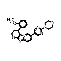 COc1ccccc1C1CCOc2nc3ccc(-c4cnc(N5CCOCC5)nc4)cn3c21